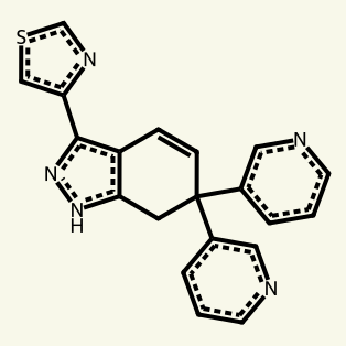 C1=CC(c2cccnc2)(c2cccnc2)Cc2[nH]nc(-c3cscn3)c21